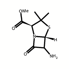 [CH2]OC(=O)[C@@H]1N2C(=O)C(N)[C@H]2SC1(C)C